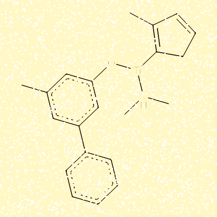 CC1=[C]([Ti]([O]c2cc(C)cc(-c3ccccc3)c2)[SiH](C)C)CC=C1